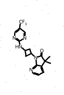 CC1(C)C(=O)N(C2CC(Nc3ncc(C(F)(F)F)cn3)C2)c2ncccc21